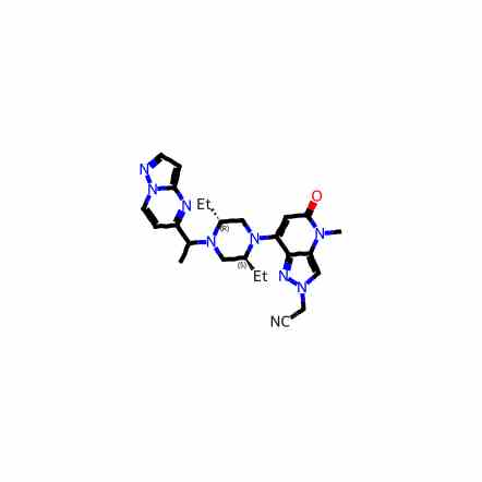 CC[C@H]1CN(C(C)c2ccn3nccc3n2)[C@H](CC)CN1c1cc(=O)n(C)c2cn(CC#N)nc12